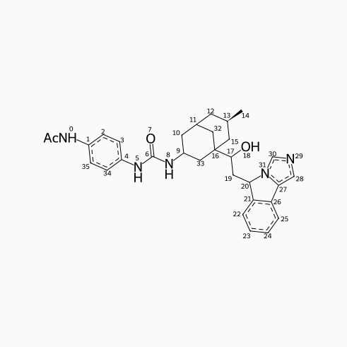 CC(=O)Nc1ccc(NC(=O)NC2CC3C[C@@H](C)CC(C(O)CC4c5ccccc5-c5cncn54)(C3)C2)cc1